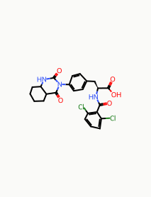 O=C(N[C@@H](Cc1ccc(N2C(=O)NC3CCCCC3C2=O)cc1)C(=O)O)c1c(Cl)cccc1Cl